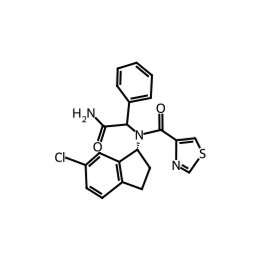 NC(=O)C(c1ccccc1)N(C(=O)c1cscn1)[C@@H]1CCc2ccc(Cl)cc21